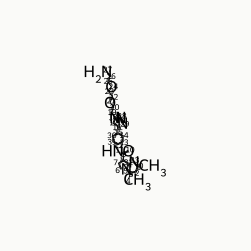 Cc1cc(C)n2ccc(C(=O)Nc3ccc(-c4cn(CCOCCOCCN)nn4)cc3)c2n1